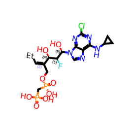 CC/C=C(/COP(=O)(O)CP(=O)(O)O)[C@@H](O)[C@H](F)[C@@H](O)n1cnc2c(NC3CC3)nc(Cl)nc21